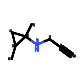 C#CCNC1(C)CC1C